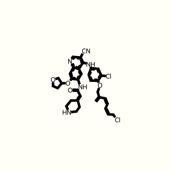 C=C(/C=C\C=C/CCl)COc1ccc(Nc2c(C#N)cnc3cc(OC4CCOC4)c(NC(=O)C=C4CCNCC4)cc23)cc1Cl